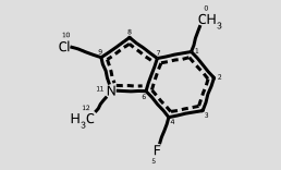 Cc1ccc(F)c2c1cc(Cl)n2C